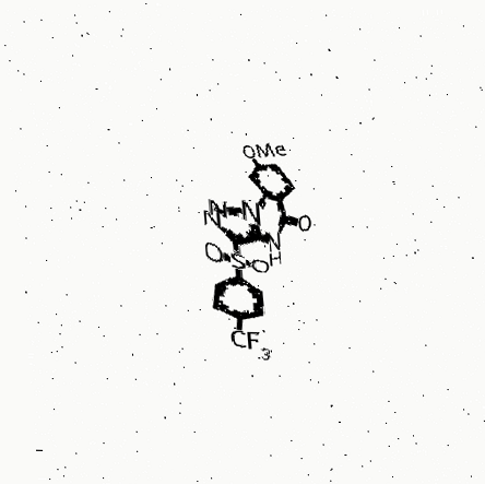 COc1ccc2c(=O)[nH]c3c(S(=O)(=O)c4ccc(C(F)(F)F)cc4)nnn3c2c1